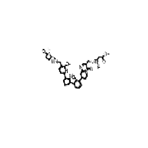 COc1nc(-c2cccc(-c3cccc(-c4ccn5c(=O)c(CNCC(O)CC(=O)O)cnc5c4)c3Cl)c2Cl)ccc1CNC[C@H]1CCC(=O)N1